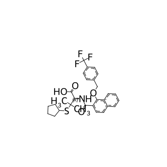 CC(C)(SC1CCCC1)[C@H](NC(=O)c1ccc2ccccc2c1OCc1ccc(C(F)(F)F)cc1)C(=O)O